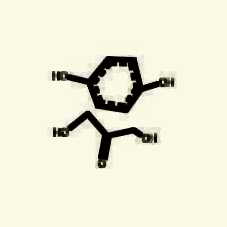 O=C(CO)CO.Oc1ccc(O)cc1